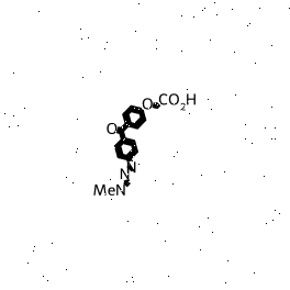 CNCN=Nc1ccc(C(=O)c2ccc(OCC(=O)O)cc2)cc1